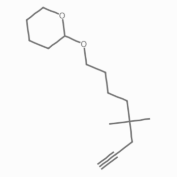 C#CCC(C)(C)CCCCOC1CCCCO1